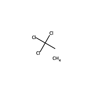 C.CC(Cl)(Cl)Cl